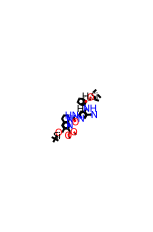 CC[Si](CC)(CC)OC[C@H]1[C@@H]2CC[C@@H](C2)[C@H]1Nc1cc(NC(=O)N2CCCc3cc(CO[Si](C)(C)C(C)(C)C)c(C(OC)OC)nc32)ncc1C#N